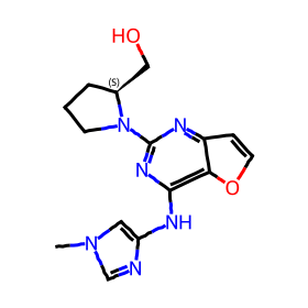 Cn1cnc(Nc2nc(N3CCC[C@H]3CO)nc3ccoc23)c1